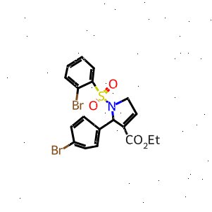 CCOC(=O)C1=CCN(S(=O)(=O)c2ccccc2Br)C1c1ccc(Br)cc1